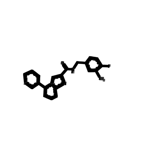 Cc1cc(CNC(=O)c2cn3c(-c4cccnc4)cccc3n2)ccc1F